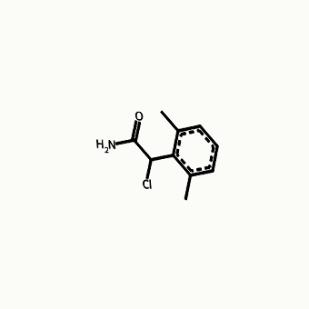 Cc1cccc(C)c1C(Cl)C(N)=O